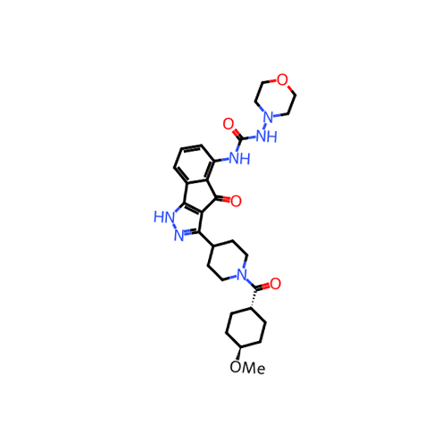 CO[C@H]1CC[C@H](C(=O)N2CCC(c3n[nH]c4c3C(=O)c3c(NC(=O)NN5CCOCC5)cccc3-4)CC2)CC1